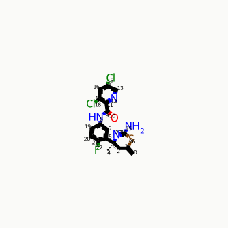 C=C1C[C@@](C)(c2cc(NC(=O)c3ncc(Cl)cc3Cl)ccc2F)N=C(N)S1